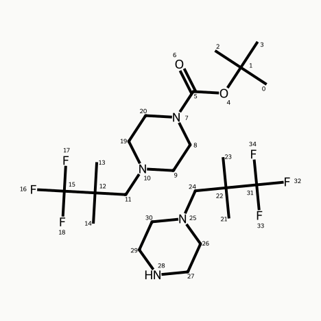 CC(C)(C)OC(=O)N1CCN(CC(C)(C)C(F)(F)F)CC1.CC(C)(CN1CCNCC1)C(F)(F)F